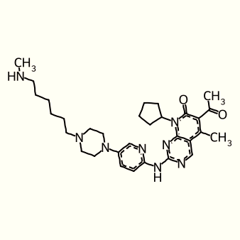 CNCCCCCCN1CCN(c2ccc(Nc3ncc4c(C)c(C(C)=O)c(=O)n(C5CCCC5)c4n3)nc2)CC1